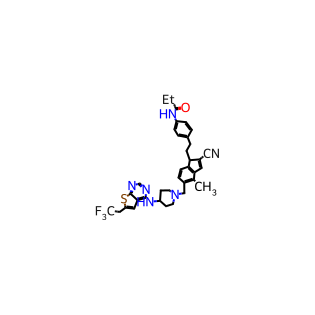 CCC(=O)Nc1ccc(CCC2C(C#N)=Cc3c2ccc(CN2CCC(Nc4ncnc5sc(CC(F)(F)F)cc45)CC2)c3C)cc1